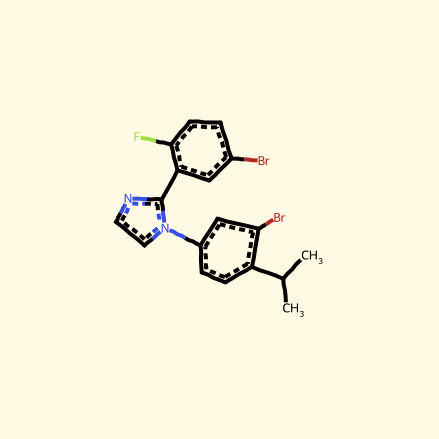 CC(C)c1ccc(-n2ccnc2-c2cc(Br)ccc2F)cc1Br